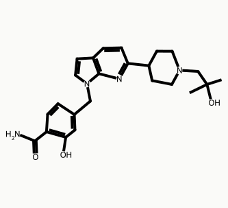 CC(C)(O)CN1CCC(c2ccc3ccn(Cc4ccc(C(N)=O)c(O)c4)c3n2)CC1